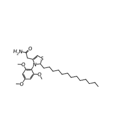 CCCCCCCCCCCCCC1SC=C(CC(N)=O)N1c1c(OC)cc(OC)cc1OC